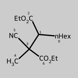 CCCCCCC(C(=O)OCC)C(C)(C#N)C(=O)OCC